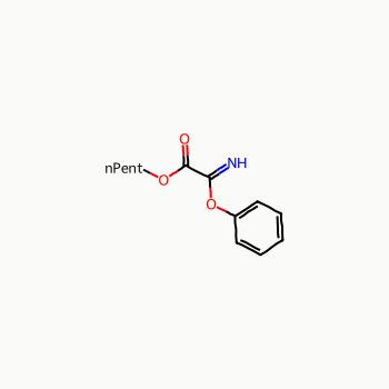 CCCCCOC(=O)C(=N)Oc1ccccc1